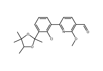 COc1nc(-c2cccc(C3(C)OC(C)C(C)(C)O3)c2Cl)ccc1C=O